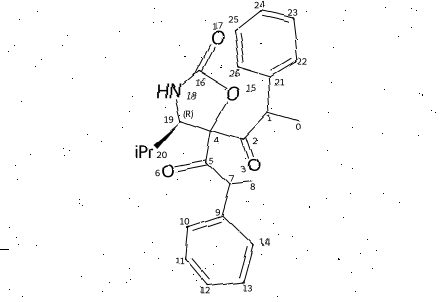 CC(C(=O)C1(C(=O)C(C)c2ccccc2)OC(=O)N[C@@H]1C(C)C)c1ccccc1